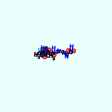 Cc1c(=O)n(C)c(Nc2ccc(I)cc2F)c2c(=O)n(C3CC3)c(=O)n(-c3cccc(NC(=O)C4CCN(CC5CCN(c6cncc(C7CCC(=O)NC7=O)c6)CC5)CC4)c3)c12